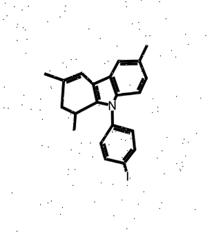 CC1=Cc2c(n(-c3ccc(I)cc3)c3ccc(C)cc23)C(C)C1